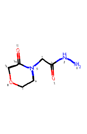 NNC(=O)CN1CCOCC1=O